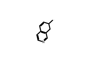 [CH2]C1C=Cc2ccncc2C1